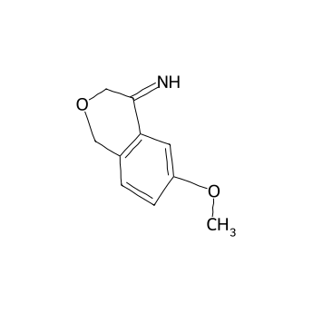 COc1ccc2c(c1)C(=N)COC2